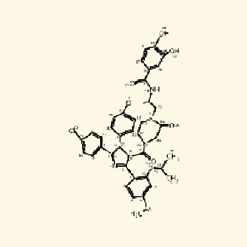 COc1ccc(C2=N[C@@H](c3ccc(Cl)cc3)[C@@H](c3ccc(Cl)cc3)N2C(=O)N2CCN(CCNC(=O)c3ccc(O)c(O)c3)C(=O)C2)c(OC(C)C)c1